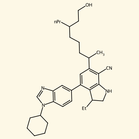 CCCC(CCO)CCCC(C)c1cc(-c2ccc3c(c2)ncn3C2CCCCC2)c2c(c1C#N)NCC2CC